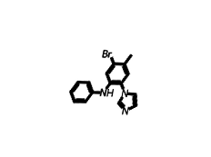 Cc1cc(-n2ccnc2)c(Nc2ccccc2)cc1Br